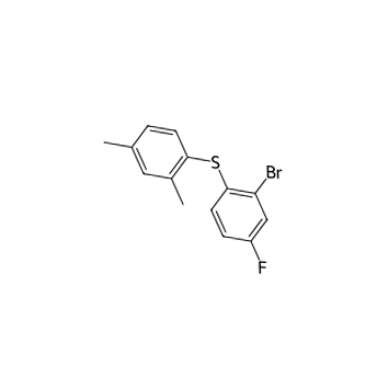 Cc1ccc(Sc2ccc(F)cc2Br)c(C)c1